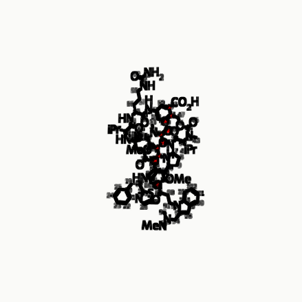 CC[C@H](C)[C@@H]([C@@H](CC(=O)N1CCC[C@H]1[C@H](OC)[C@@H](C)C(=O)N[C@@H](Cc1ccccc1)c1nccs1)OC)N(C)C(=O)[C@@H](NC(=O)[C@H](C(C)C)N(C)C(=O)OCc1ccc(NC(=O)[C@H](CCCNC(N)=O)NC(=O)[C@@H](NC(=O)CCC(=O)N(CCOCCOCCC(=O)O)C2CCN(C(=O)CCn3c(CN(C)NC)cc4ccccc43)CC2)C(C)C)cc1)C(C)C